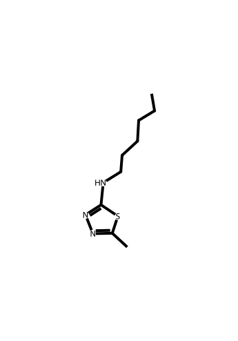 CCCCCCNc1nnc(C)s1